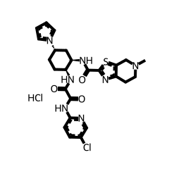 CN1CCc2nc(C(=O)N[C@@H]3C[C@@H](n4cccc4)CC[C@@H]3NC(=O)C(=O)Nc3ccc(Cl)cn3)sc2C1.Cl